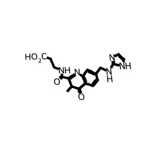 CC1C(=O)c2ccc(CNc3ncc[nH]3)cc2N=C1C(=O)NCCC(=O)O